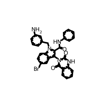 Nc1cccc(Cn2c(C(=O)Nc3ccccc3)c(-n3c(=O)[nH]c4ccccc4c3=O)c3cc(Br)ccc32)c1